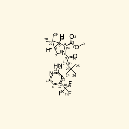 COC(=O)[C@@H]1[C@@H]2[C@H](CN1C(=O)[C@@H](Nc1nccc(C(F)(F)F)n1)C(C)(C)C)C2(C)C